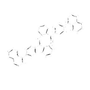 c1ccc2c(c1)/N=C(/c1ccc(-c3cccc4ccccc34)cc1)c1ccccc1/N=C\2c1ccc(-c2cccc3ccccc23)cc1